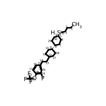 CCCC[SiH2][C@H]1CC[C@H](C2CCC(CCc3ccc(OC(F)(F)F)c(F)c3)CC2)CC1